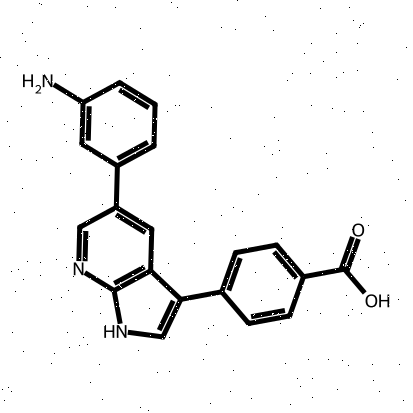 Nc1cccc(-c2cnc3[nH]cc(-c4ccc(C(=O)O)cc4)c3c2)c1